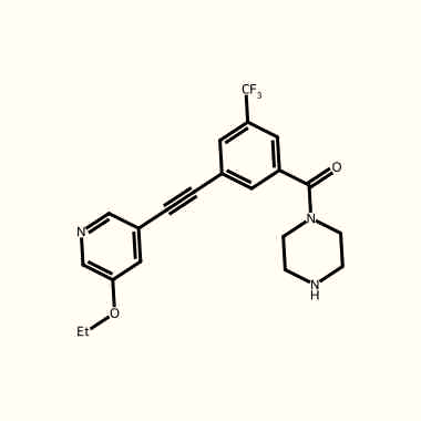 CCOc1cncc(C#Cc2cc(C(=O)N3CCNCC3)cc(C(F)(F)F)c2)c1